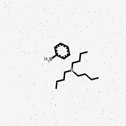 Bc1ccccc1.CCCCN(CCCC)CCCC